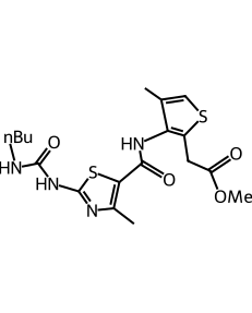 CCCCNC(=O)Nc1nc(C)c(C(=O)Nc2c(C)csc2CC(=O)OC)s1